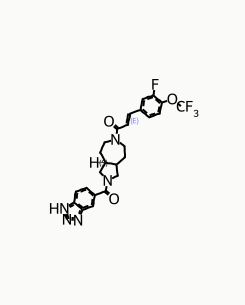 O=C(/C=C/c1ccc(OC(F)(F)F)c(F)c1)N1CCC2CN(C(=O)c3ccc4[nH]nnc4c3)C[C@H]2CC1